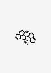 CC(C)(P)C(c1c(O)ccc2ccccc12)c1c(O)ccc2ccccc12